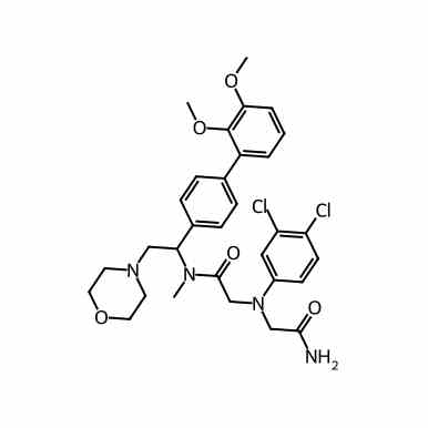 COc1cccc(-c2ccc(C(CN3CCOCC3)N(C)C(=O)CN(CC(N)=O)c3ccc(Cl)c(Cl)c3)cc2)c1OC